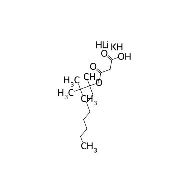 CCCCCCCC(C)(OC(=O)CC(=O)O)C(C)(C)C.[KH].[LiH]